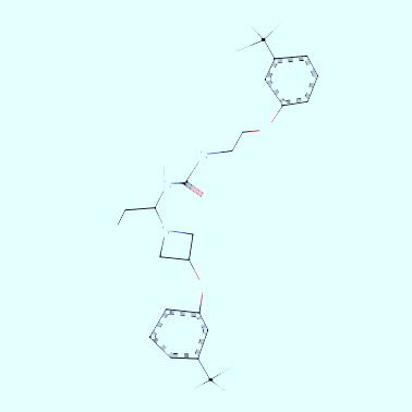 CCC(NC(=O)NCCOc1cccc(C(F)(F)F)c1)N1CC(Oc2cccc(C(F)(F)F)c2)C1